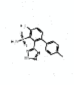 Cc1ccc(-c2ccc(C(F)(F)F)c(S(N)(=O)=O)c2-c2nn[nH]n2)cc1